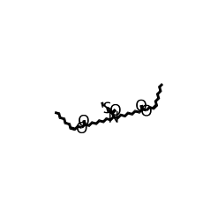 CCCCCC/C=C\COC(=O)CCCCCCCN(CCCCCCCC(=O)OC/C=C\CCCCCC)C(=O)CSCC